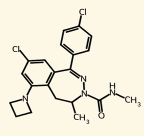 CNC(=O)N1N=C(c2ccc(Cl)cc2)c2cc(Cl)cc(N3CCC3)c2CC1C